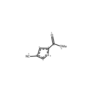 COC(=O)c1cc(C#N)cs1